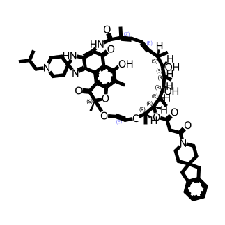 C/C1=C/C=C/[C@H](C)[C@H](O)[C@@H](C)[C@@H](O)[C@@H](C)[C@H](OC(=O)CC(=O)N2CCC3(CC2)Cc2ccccc2C3)[C@H](C)C/C=C/O[C@@]2(C)Oc3c(C)c(O)c4c(c3C2=O)C2=NC3(CCN(CC(C)C)CC3)NC2=C(NC1=O)C4=O